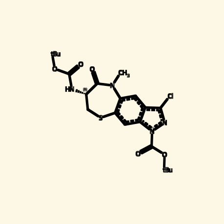 CN1C(=O)[C@@H](NC(=O)OC(C)(C)C)CSc2cc3c(cc21)c(Cl)nn3C(=O)OC(C)(C)C